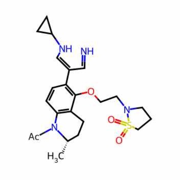 CC(=O)N1c2ccc(/C(C=N)=C/NC3CC3)c(OCCN3CCCS3(=O)=O)c2CC[C@@H]1C